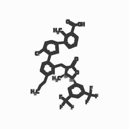 CCCc1ccc(-c2cc(-c3cccc(C(=O)O)c3C)ccc2Cl)c(CN2C(=O)O[C@H](c3cc(C(F)(F)F)cc(C(F)(F)F)c3)[C@@H]2C)n1